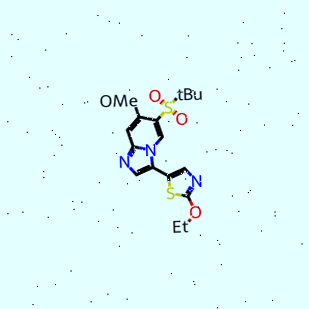 CCOc1ncc(-c2cnc3cc(OC)c(S(=O)(=O)C(C)(C)C)cn23)s1